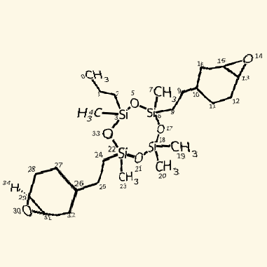 CCC[Si]1(C)O[Si](C)(CCC2CCC3OC3C2)O[Si](C)(C)O[Si](C)(CCC2CC[C@@H]3OC3C2)O1